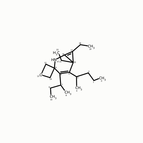 CCCC(C)C1=C(C(C)CC)C2(COC2)NC2=C(CC)C21CC